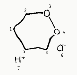 C1CCOOC1.[Cl-].[H+]